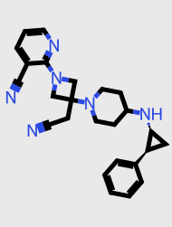 N#CCC1(N2CCC(N[C@@H]3C[C@H]3c3ccccc3)CC2)CN(c2ncccc2C#N)C1